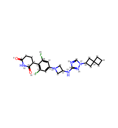 O=C1CCC(c2c(F)cc(N3CC(Nc4ncn(C5CC6(CCC6)C5)n4)C3)cc2F)C(=O)N1